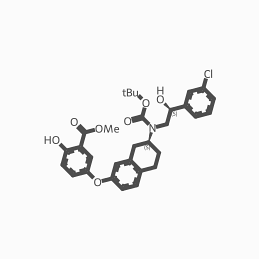 COC(=O)c1cc(Oc2ccc3c(c2)C[C@@H](N(C[C@@H](O)c2cccc(Cl)c2)C(=O)OC(C)(C)C)CC3)ccc1O